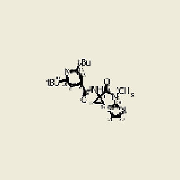 CN(C(=O)C1(NC(=O)c2cc(C(C)(C)C)nc(C(C)(C)C)c2)CC1)c1nccs1